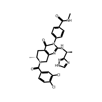 CNC(=O)c1ccc(-n2c(N[C@@H](C)c3nc[nH]n3)nc3c(c2=O)C[C@@H](C)N(C(=O)c2ccc(Cl)c(Cl)c2)C3)cc1